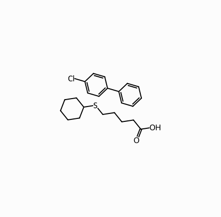 Clc1ccc(-c2ccccc2)cc1.O=C(O)CCCCSC1CCCCC1